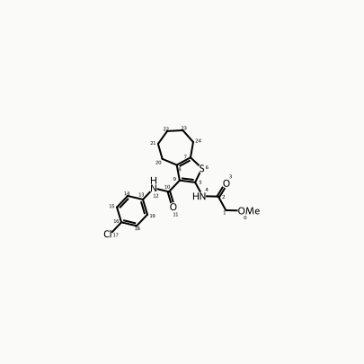 COCC(=O)Nc1sc2c(c1C(=O)Nc1ccc(Cl)cc1)CCCCC2